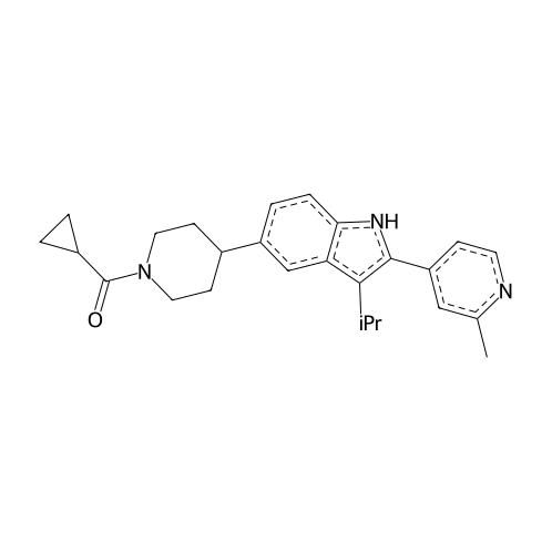 Cc1cc(-c2[nH]c3ccc(C4CCN(C(=O)C5CC5)CC4)cc3c2C(C)C)ccn1